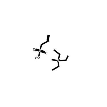 C=CCS(=O)(=O)O.CC[N+](C)(CC)CC